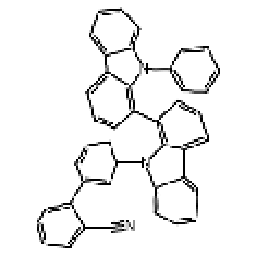 N#Cc1ccccc1C1=CC(n2c3ccccc3c3cccc(-c4cccc5c6ccccc6n(-c6ccccc6)c45)c32)CC=C1